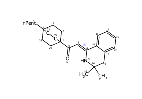 CCCCCC12CCC(C(=O)/C=C3\NC(C)(C)Cc4ccccc43)(CC1)CC2